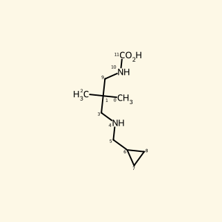 CC(C)(CNCC1CC1)CNC(=O)O